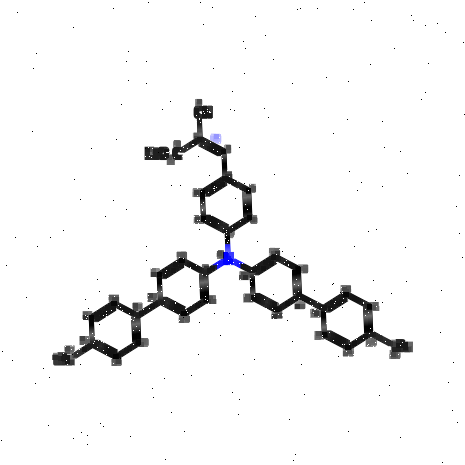 CCOC(=O)/C(C#N)=C\c1ccc(N(c2ccc(-c3ccc(C(C)(C)C)cc3)cc2)c2ccc(-c3ccc(C(C)(C)C)cc3)cc2)cc1